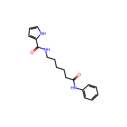 O=C(CCCCCNC(=O)c1ccc[nH]1)Nc1ccccc1